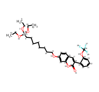 CCO[Si](CCCCCCCCOc1ccc2cc(-c3ccccc3OC(F)(F)F)c(=O)oc2c1)(OCC)OCC